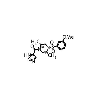 COc1cccc(S(=O)(=O)N2C[C@H](C)N(C(=O)c3cnn[nH]3)C[C@H]2C)c1